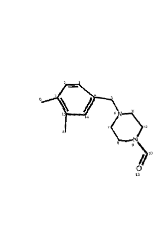 Cc1ccc(CN2CCN(C=O)CC2)cc1C